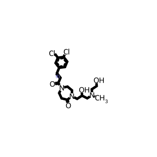 CN(CCO)CC(O)CN1CCN(C(=O)/C=C/c2ccc(Cl)c(Cl)c2)CCC1=O